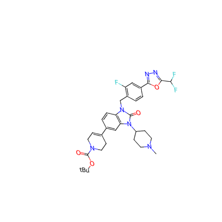 CN1CCC(n2c(=O)n(Cc3ccc(-c4nnc(C(F)F)o4)cc3F)c3ccc(C4=CCN(C(=O)OC(C)(C)C)CC4)cc32)CC1